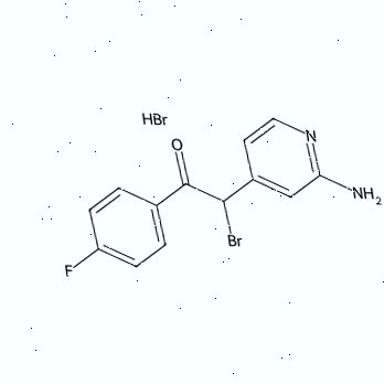 Br.Nc1cc(C(Br)C(=O)c2ccc(F)cc2)ccn1